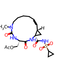 CC(=O)OC[C@@H]1NC(=O)N(C)CCCC/C=C\[C@@H]2C[C@@]2(C(=O)NS(=O)(=O)C2CC2)NC1=O